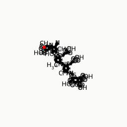 COc1cc2nc3c(C#N)c(C)c(N=Nc4cc(C)c(N=Nc5cc(Cl)c(N=Nc6nc7c(S(=O)(=O)O)cc8c(S(=O)(=O)O)cc(S(=O)(=O)O)cc8c7s6)cc5SCCCS(=O)(=O)O)cc4OCCCS(=O)(=O)O)c(O)n3c2cc1S(=O)(=O)O